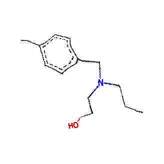 CCCN(CCO)Cc1ccc(C)cc1